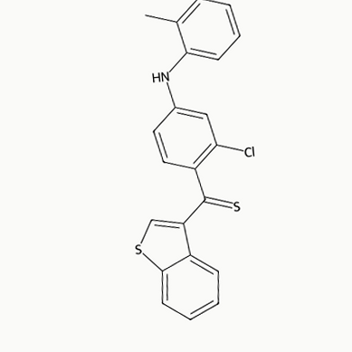 Cc1ccccc1Nc1ccc(C(=S)c2csc3ccccc23)c(Cl)c1